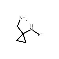 CCNC1(CN)CC1